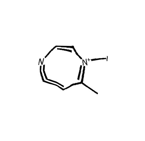 CC1=[N+](I)C=CN=C=C1